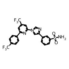 NS(=O)(=O)c1cccc(-c2cn(-c3cc(C(F)(F)F)cc(-c4ccc(C(F)(F)F)cc4)n3)cn2)c1